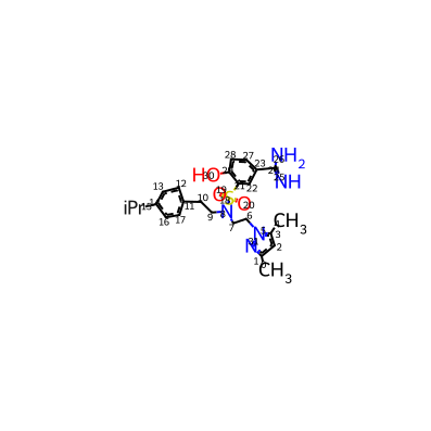 Cc1cc(C)n(CCN(CCc2ccc(C(C)C)cc2)S(=O)(=O)c2cc(C(=N)N)ccc2O)n1